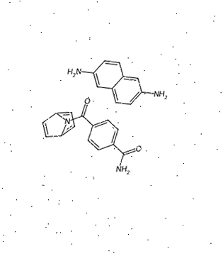 NC(=O)c1ccc(C(=O)n2c3ccc2cc3)cc1.Nc1ccc2cc(N)ccc2c1